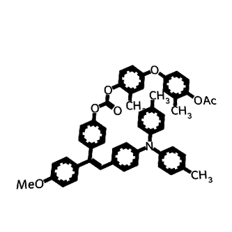 COc1ccc(C(=Cc2ccc(N(c3ccc(C)cc3)c3ccc(C)cc3)cc2)c2ccc(OC(=O)Oc3ccc(Oc4ccc(OC(C)=O)c(C)c4)cc3C)cc2)cc1